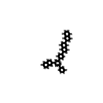 c1ccc(-c2nc(-c3ccc(-c4ccc5cc(-c6ccc7ccccc7c6)ccc5c4)cc3)nc(-c3ccc4ccccc4c3)n2)cc1